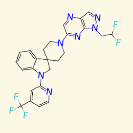 FC(F)Cn1ncc2ncc(N3CCC4(CC3)CN(c3cc(C(F)(F)F)ccn3)c3ccccc34)nc21